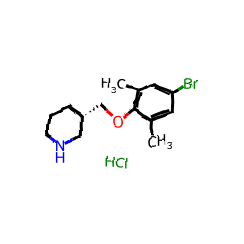 Cc1cc(Br)cc(C)c1OC[C@H]1CCCNC1.Cl